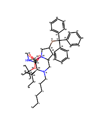 CCCCCCN(CC1CC(SC(c2ccccc2)(c2ccccc2)c2ccccc2)CN1C(=O)OC(C)(C)C)[C@H](C(=O)NC)C(C)CC